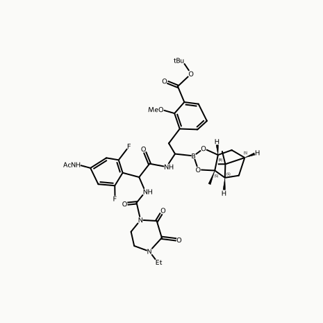 CCN1CCN(C(=O)NC(C(=O)NC(Cc2cccc(C(=O)OC(C)(C)C)c2OC)B2O[C@@H]3C[C@@H]4C[C@@H](C4(C)C)[C@]3(C)O2)c2c(F)cc(NC(C)=O)cc2F)C(=O)C1=O